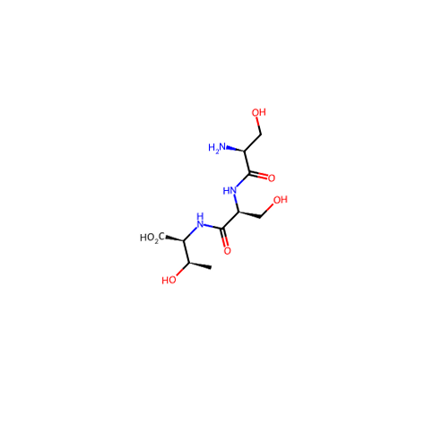 C[C@@H](O)[C@H](NC(=O)[C@H](CO)NC(=O)[C@@H](N)CO)C(=O)O